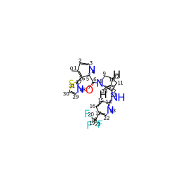 Cc1ccnc(C(=O)N2C[C@@H]3C[C@@H](Nc4ccc(C(F)(F)F)cn4)[C@@H]2C3)c1-c1nccs1